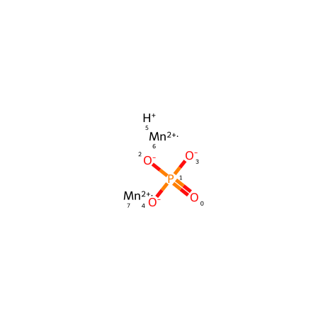 O=P([O-])([O-])[O-].[H+].[Mn+2].[Mn+2]